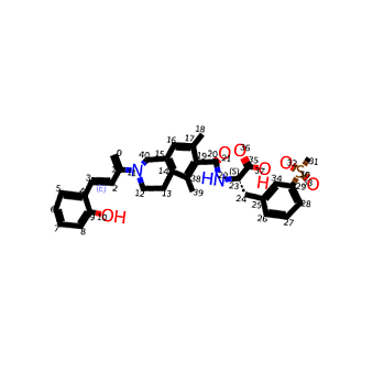 C=C(/C=C/c1ccccc1O)N1CCc2c(cc(C)c(C(=O)N[C@@H](Cc3cccc(S(C)(=O)=O)c3)C(=O)O)c2C)C1